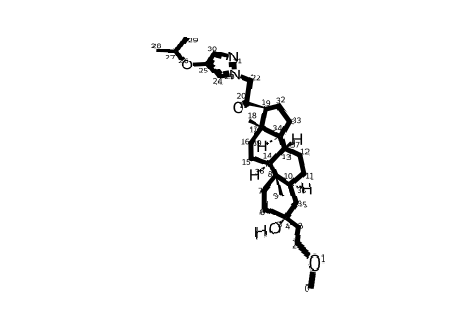 COCC[C@@]1(O)CC[C@@]2(C)[C@@H](CC[C@@H]3[C@@H]2CC[C@]2(C)[C@@H](C(=O)Cn4cc(OC(C)C)cn4)CC[C@@H]32)C1